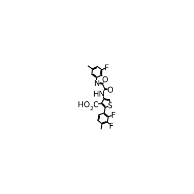 Cc1cc(F)c2oc(C(=O)Nc3csc(-c4ccc(C)c(F)c4F)c3C(=O)O)nc2c1